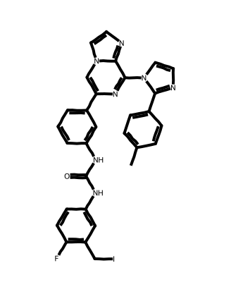 Cc1ccc(-c2nccn2-c2nc(-c3cccc(NC(=O)Nc4ccc(F)c(CI)c4)c3)cn3ccnc23)cc1